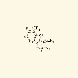 Cc1ccc2c(sc3c(C(F)(F)F)c(C)ccc32)c1C(F)(F)F